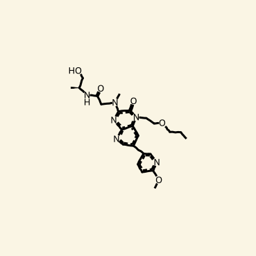 CCCOCCn1c(=O)c(N(C)CC(=O)N[C@@H](C)CO)nc2ncc(-c3ccc(OC)nc3)cc21